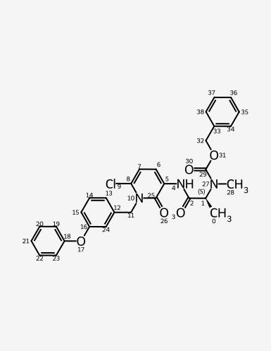 C[C@@H](C(=O)Nc1ccc(Cl)n(Cc2cccc(Oc3ccccc3)c2)c1=O)N(C)C(=O)OCc1ccccc1